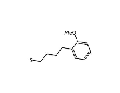 COc1ccccc1CCCC[S]